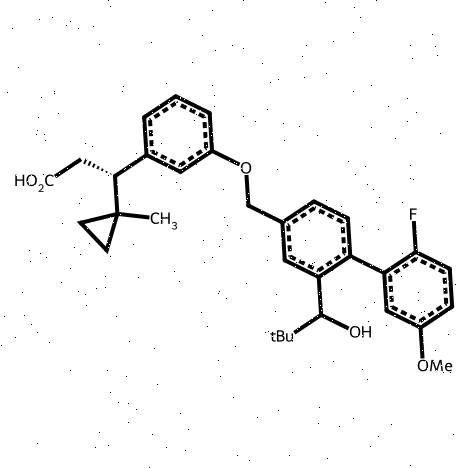 COc1ccc(F)c(-c2ccc(COc3cccc([C@@H](CC(=O)O)C4(C)CC4)c3)cc2C(O)C(C)(C)C)c1